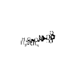 C[Si](C)(C)CCOCn1cc(C(=O)ON2C(=O)CCC2=O)cn1